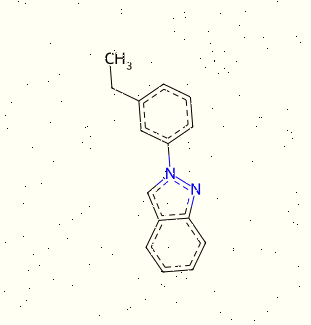 CCc1cccc(-n2cc3ccccc3n2)c1